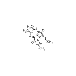 C=CCN1C(=O)N(CC=C)C2C1N(CC=C)C(=O)N2CC=C